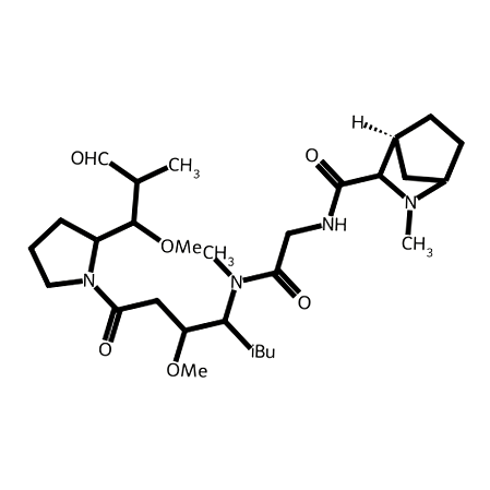 CCC(C)C(C(CC(=O)N1CCCC1C(OC)C(C)C=O)OC)N(C)C(=O)CNC(=O)C1[C@H]2CCC(C2)N1C